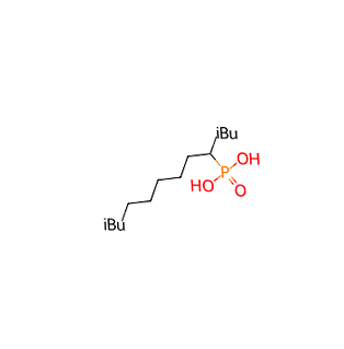 CCC(C)CCCCCC(C(C)CC)P(=O)(O)O